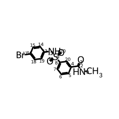 CNC(=O)c1cccc(S(=O)(=O)Nc2ccc(Br)cc2)c1